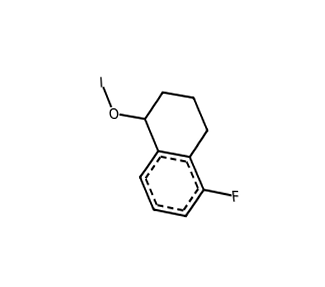 Fc1cccc2c1CCCC2OI